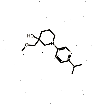 COCC1(O)CCCN(c2ccc(C(C)C)nc2)C1